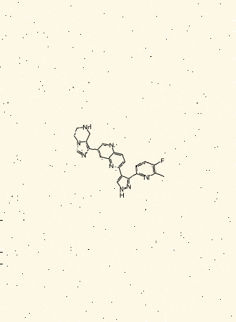 Cc1nc(-c2n[nH]cc2-c2ccc3ncc(-c4ncn5c4CNCC5)cc3n2)ccc1F